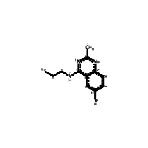 Cc1nc(NCC[S])c2cc(Br)ccc2n1